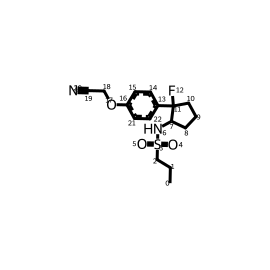 CCCS(=O)(=O)NC1CCCC1(F)c1ccc(OCC#N)cc1